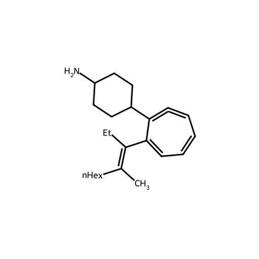 CCCCCC/C(C)=C(\CC)C1=CC=CC=C=C1C1CCC(N)CC1